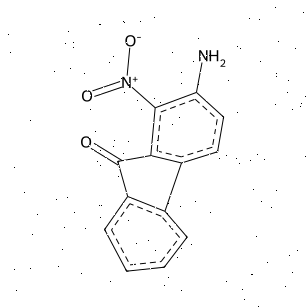 Nc1ccc2c(c1[N+](=O)[O-])C(=O)c1ccccc1-2